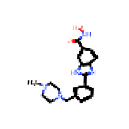 CN1CCN(Cc2cccc(-c3nc4ccc(C(=O)NO)cc4[nH]3)c2)CC1